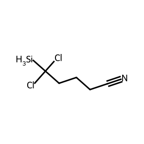 N#CCCCC([SiH3])(Cl)Cl